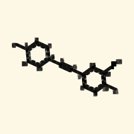 Cc1ccc(C#Cc2ccc(C)c(F)c2)cc1